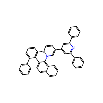 C1=CC(c2cc(-c3ccccc3)nc(-c3ccccc3)c2)=CN2B1c1cccc(-c3ccccc3)c1-c1ccc3ccccc3c12